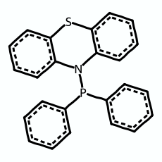 c1ccc(P(c2ccccc2)N2c3ccccc3Sc3ccccc32)cc1